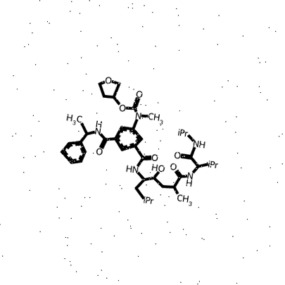 CC(C)CC(NC(=O)c1cc(C(=O)NC(C)c2ccccc2)cc(N(C)C(=O)OC2CCOC2)c1)C(O)CC(C)C(=O)NC(C(=O)NC(C)C)C(C)C